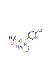 CS(=O)(=O)/N=C1/SCCN1Cc1ccc(Cl)nc1